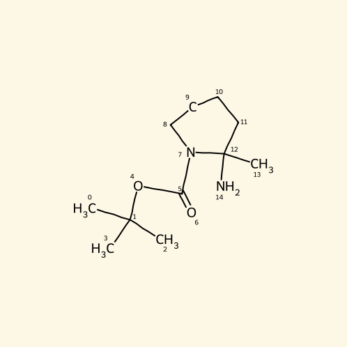 CC(C)(C)OC(=O)N1CCCCC1(C)N